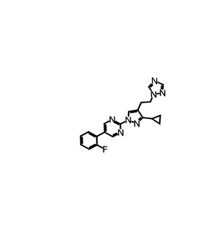 Fc1ccccc1-c1cnc(-n2cc(CCn3cncn3)c(C3CC3)n2)nc1